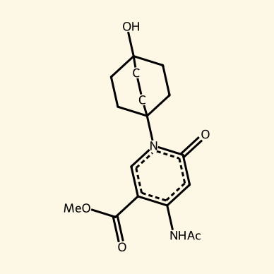 COC(=O)c1cn(C23CCC(O)(CC2)CC3)c(=O)cc1NC(C)=O